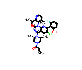 C=CC(=O)N1CC(C)N(/C(=N/C)c2cc(Cl)c(-c3c(O)cccc3F)nc2N(C=O)c2c(C)ccnc2C(C)C)[C@@H](C)C1